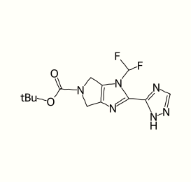 CC(C)(C)OC(=O)N1Cc2nc(-c3ncn[nH]3)n(C(F)F)c2C1